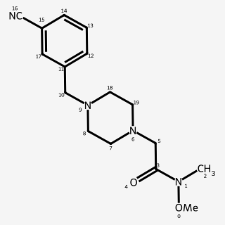 CON(C)C(=O)CN1CCN(Cc2cccc(C#N)c2)CC1